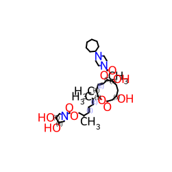 C/C(=C\C=C\C(C)COC(=O)N1C[C@@H](O)[C@@H](O)C1)[C@H]1OC(=O)C[C@@H](O)CC[C@](C)(O)[C@@H](OC(=O)N2CCN(C3CCCCCC3)CC2)/C=C/[C@@H]1C